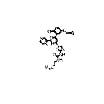 CCCNC(=O)Nc1ncc(-c2cc(-c3cc(OCC4CC4)ccc3Cl)nc(-c3cnccn3)n2)s1